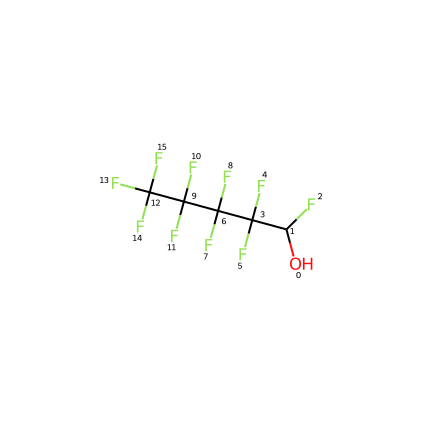 OC(F)C(F)(F)C(F)(F)C(F)(F)C(F)(F)F